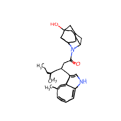 Cc1cccc2[nH]cc(C(CC(=O)N3C4CC5CC3CC(O)(C5)C4)C(C)C)c12